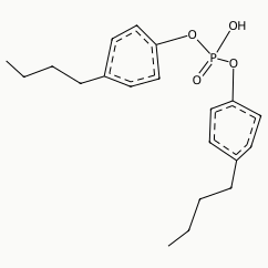 CCCCc1ccc(OP(=O)(O)Oc2ccc(CCCC)cc2)cc1